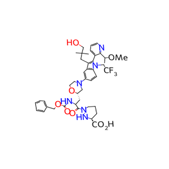 COC(C)c1ncccc1-c1c(CC(C)(C)CO)c2cc(N3CCO[C@@H](CC(NC(=O)OCc4ccccc4)C(=O)N4CCC[C@@H](C(=O)O)N4)C3)ccc2n1CC(F)(F)F